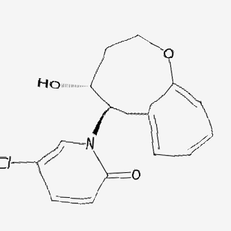 O=c1ccc(Cl)cn1[C@@H]1c2ccccc2OCC[C@H]1O